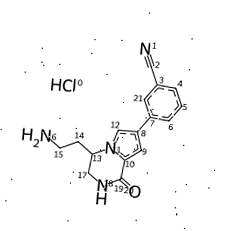 Cl.N#Cc1cccc(-c2cc3n(c2)C(CCN)CNC3=O)c1